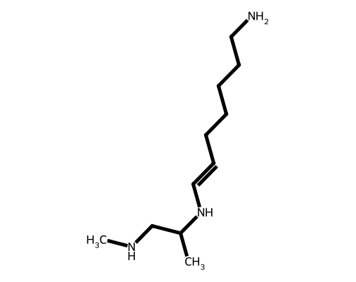 CNCC(C)N/C=C/CCCCCN